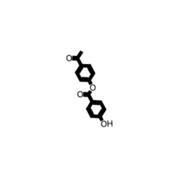 CC(=O)c1ccc(OC(=O)c2ccc(O)cc2)cc1